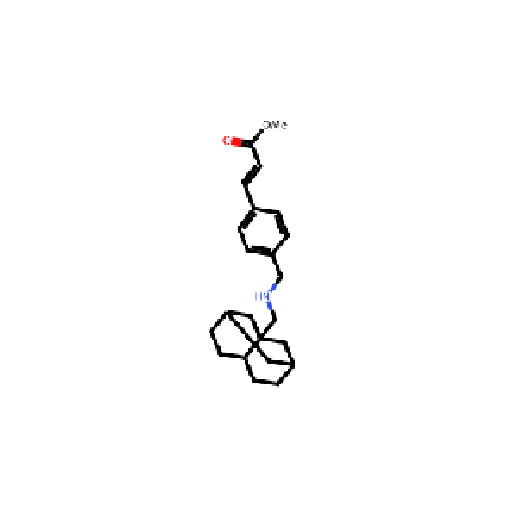 COC(=O)/C=C/c1ccc(CNCC23CC4CCC2CCC(C4)C3)cc1